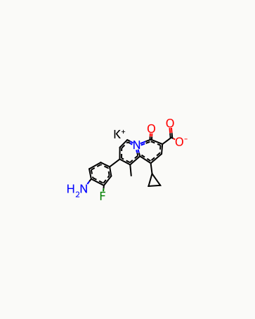 Cc1c(-c2ccc(N)c(F)c2)ccn2c(=O)c(C(=O)[O-])cc(C3CC3)c12.[K+]